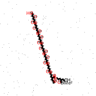 C=CCC(CCCOC(=O)C(CCCOC(=O)CCCCOC(=O)CCC(=O)CCOC(=O)CCC(=O)CCOC(=O)CCC(=O)CCOC(=O)CCC(=O)CCOC(=O)CCC(=O)CCO)CC1CO1)C(=O)OC